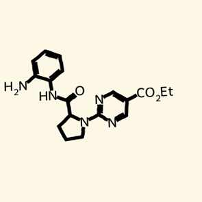 CCOC(=O)c1cnc(N2CCCC2C(=O)Nc2ccccc2N)nc1